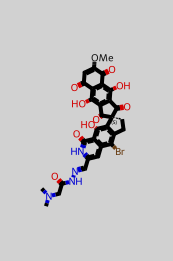 COC1=CC(=O)c2c(O)c3c(c(O)c2C1=O)C(=O)[C@]1(CCc2c1c(O)c1c(=O)[nH]c(C=NNC(=O)CN(C)C)cc1c2Br)C3=O